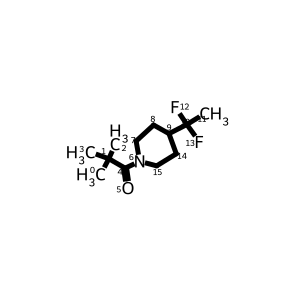 CC(C)(C)C(=O)N1CCC(C(C)(F)F)CC1